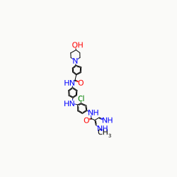 CN/C=C(\C=N)C(=O)Nc1ccc(Nc2ccc(NC(=O)c3ccc(N4CCC(O)CC4)cc3)cc2)c(Cl)c1